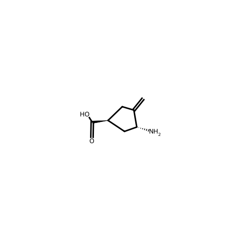 C=C1C[C@H](C(=O)O)C[C@H]1N